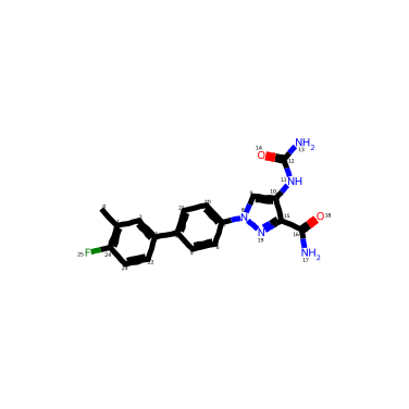 Cc1cc(-c2ccc(-n3cc(NC(N)=O)c(C(N)=O)n3)cc2)ccc1F